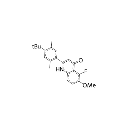 COc1ccc2[nH]c(-c3cc(C)c(C(C)(C)C)cc3C)cc(=O)c2c1F